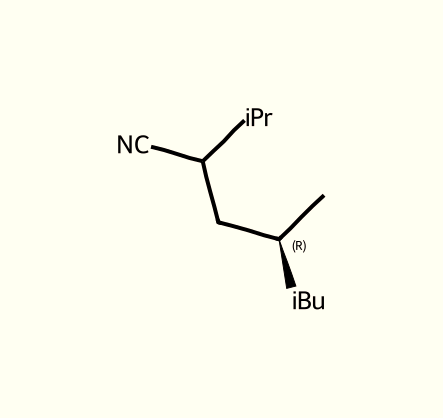 CCC(C)[C@H](C)CC(C#N)C(C)C